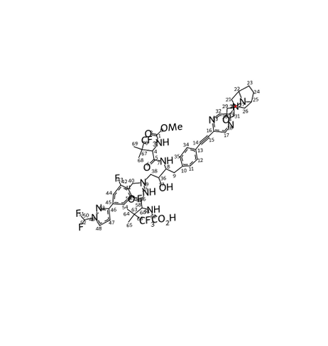 COC(=O)NC(C(=O)NC(Cc1ccc(C#Cc2cnc(N3CC4CCC(C3)N4C3COC3)cn2)cc1)C(O)CN(Cc1c(F)cc(-c2ccn(C(F)F)n2)cc1F)NC(=O)C(NC(=O)O)C(C)(C)C(F)(F)F)C(C)(C)C(F)(F)F